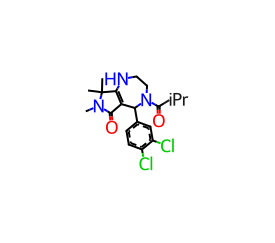 CC(C)C(=O)N1CCNC2=C(C(=O)N(C)C2(C)C)C1c1ccc(Cl)c(Cl)c1